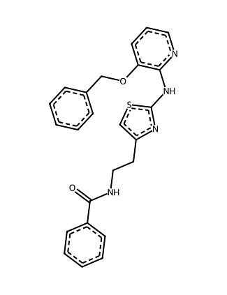 O=C(NCCc1csc(Nc2ncccc2OCc2ccccc2)n1)c1ccccc1